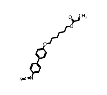 C=CC(=O)OCCCCCCOc1ccc(-c2ccc(N=C=S)cc2)cc1